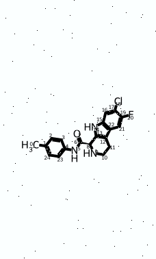 Cc1ccc(NC(=O)[C@@H]2NCCc3c2[nH]c2cc(Cl)c(F)cc32)cc1